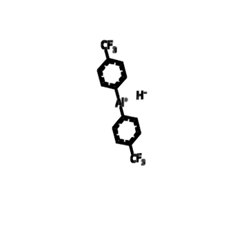 FC(F)(F)c1cc[c]([Al+][c]2ccc(C(F)(F)F)cc2)cc1.[H-]